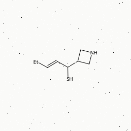 CC/C=C/C(S)C1CNC1